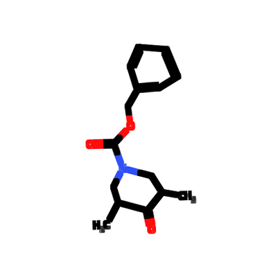 CC1CN(C(=O)OCc2ccccc2)CC(C)C1=O